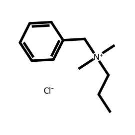 CCC[N+](C)(C)Cc1ccccc1.[Cl-]